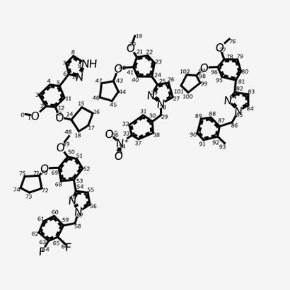 COc1ccc(-c2cc[nH]n2)cc1OC1CCCC1.COc1ccc(-c2ccn(Cc3ccc([N+](=O)[O-])cc3)n2)cc1OC1CCCC1.COc1ccc(-c2ccn(Cc3cccc(F)c3F)n2)cc1OC1CCCC1.COc1ccc(-c2ccn(Cc3ccccc3C)n2)cc1OC1CCCC1